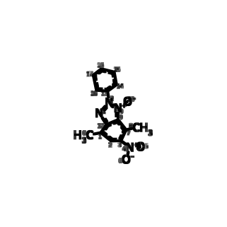 Cc1cc([N+](=O)[O-])c(C)c2c1nn(-c1ccccc1)[n+]2[O-]